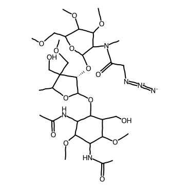 COCC1OC(O[C@@H]2C(OC3C(CO)C(OC)C(NC(C)=O)C(OC)C3NC(C)=O)OC(C)C2(CO)COC)C(N(C)C(=O)CN=[N+]=[N-])C(OC)C1OC